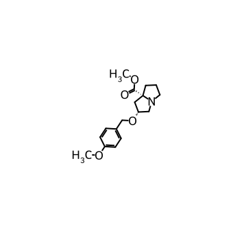 COC(=O)[C@]12CCCN1C[C@H](OCc1ccc(OC)cc1)C2